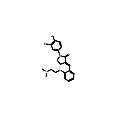 CN(C)CCNc1ccccc1C=C1CCN(c2ccc(Cl)c(Cl)c2)C1=O